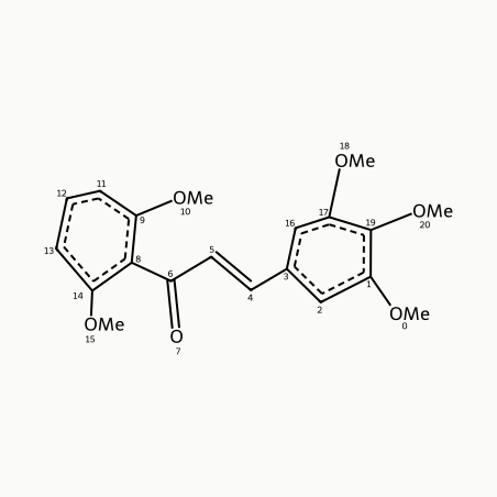 COc1cc(/C=C/C(=O)c2c(OC)cccc2OC)cc(OC)c1OC